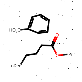 CCCCCCCCCCCCCC(=O)OC(C)C.O=C(O)c1ccccc1